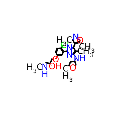 CNC[C@@H](O)COc1ccc(Cl)c(-c2nc(N[C@H]3CO[C@@H](C)C3)c(C)c(-c3c(C)noc3C)n2)c1